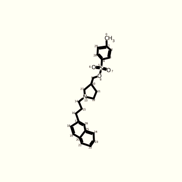 Cc1ccc(S(=O)(=O)OCC2CCN(CCCc3ccc4ccccc4c3)C2)cc1